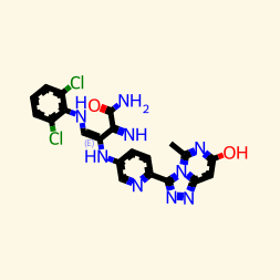 Cc1nc(O)cc2nnc(-c3ccc(N/C(=C/Nc4c(Cl)cccc4Cl)C(=N)C(N)=O)cn3)n12